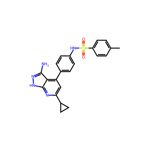 Cc1ccc(S(=O)(=O)Nc2ccc(-c3cc(C4CC4)nc4[nH]nc(N)c34)cc2)cc1